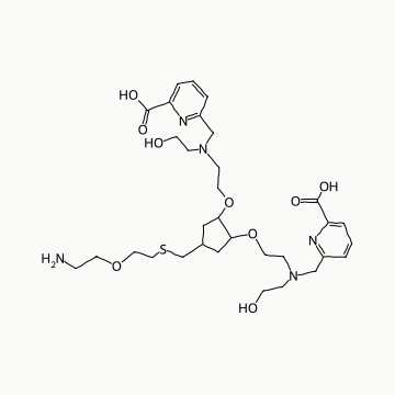 NCCOCCSCC1CC(OCCN(CCO)Cc2cccc(C(=O)O)n2)C(OCCN(CCO)Cc2cccc(C(=O)O)n2)C1